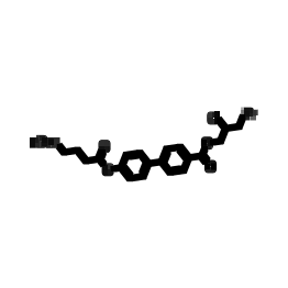 CCCCCCCCCCCCCC(=O)Oc1ccc(-c2ccc(C(=O)OCC(Cl)CC(C)C)cc2)cc1